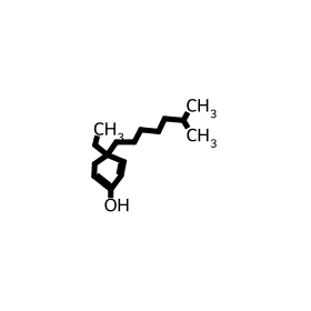 CCC1(CCCCCC(C)C)C=CC(O)=CC1